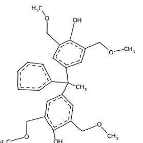 COCc1cc(C(C)(c2ccccc2)c2cc(COC)c(O)c(COC)c2)cc(COC)c1O